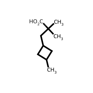 CC1CC(CC(C)(C)C(=O)O)C1